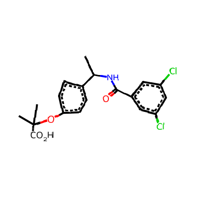 CC(NC(=O)c1cc(Cl)cc(Cl)c1)c1ccc(OC(C)(C)C(=O)O)cc1